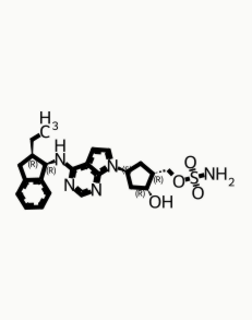 CC[C@@H]1Cc2ccccc2[C@@H]1Nc1ncnc2c1ccn2[C@H]1C[C@H](COS(N)(=O)=O)[C@H](O)C1